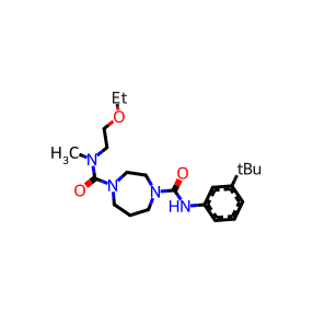 CCOCCN(C)C(=O)N1CCCN(C(=O)Nc2cccc(C(C)(C)C)c2)CC1